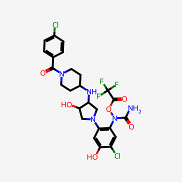 NC(=O)N(OC(=O)C(F)(F)F)c1cc(Cl)c(O)cc1N1CC(O)C(NC2CCN(C(=O)c3ccc(Cl)cc3)CC2)C1